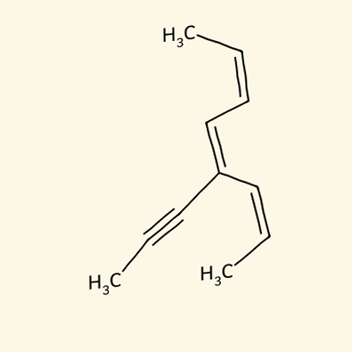 CC#CC(/C=C\C)=C/C=C\C